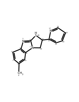 Cc1ccc2nc3n(c2c1)CC(c1ccccn1)[SH]3